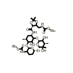 CC[C@@H]1CCC(NC(=O)OC(C)(C)C)[C@@H](OC2C(O)C(O[C@H]3OCC(C)(O)[C@H](C)C3O)[C@H](NC(=O)[C@H]3OC(C)(C)OC3CNC(=O)OC(C)(C)C)C[C@@H]2C)O1